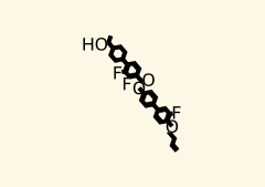 C=CCCOc1ccc(-c2ccc(OC(=O)c3ccc(C4CCC(C(C)O)CC4)c(F)c3F)cc2)cc1F